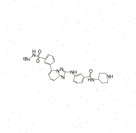 CC(C)(C)NS(=O)(=O)c1cccc(-c2cccc3nc(Nc4cccc(C(=O)NC5CCNCC5)c4)nn23)c1